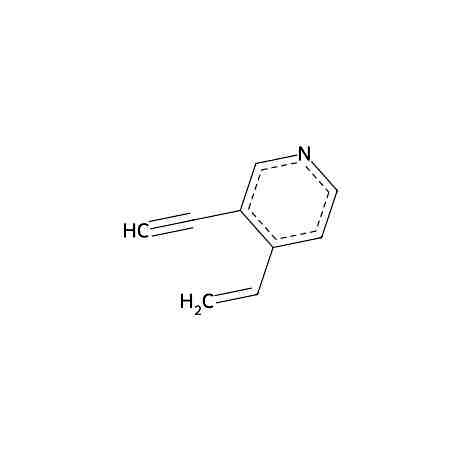 C#Cc1cnccc1C=C